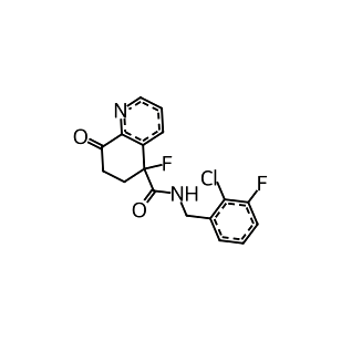 O=C1CCC(F)(C(=O)NCc2cccc(F)c2Cl)c2cccnc21